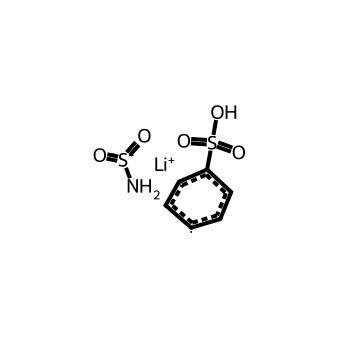 N[S-](=O)=O.O=S(=O)(O)c1cc[c]cc1.[Li+]